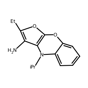 CCc1oc2c(c1N)N(C(C)C)c1ccccc1O2